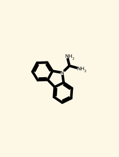 NC(N)n1c2ccccc2c2ccccc21